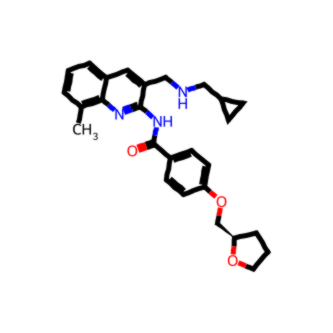 Cc1cccc2cc(CNCC3CC3)c(NC(=O)c3ccc(OC[C@H]4CCCO4)cc3)nc12